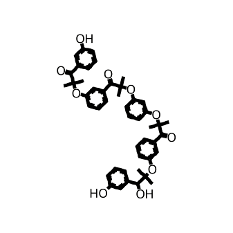 CC(C)(Oc1cccc(C(=O)C(C)(C)Oc2cccc(OC(C)(C)C(=O)c3cccc(OC(C)(C)C(O)c4cccc(O)c4)c3)c2)c1)C(=O)c1cccc(O)c1